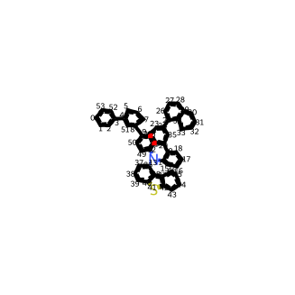 c1ccc(-c2cccc(-c3ccc(N(c4ccccc4-c4cccc(-c5cccc6ccccc56)c4)c4cccc5sc6ccccc6c45)cc3)c2)cc1